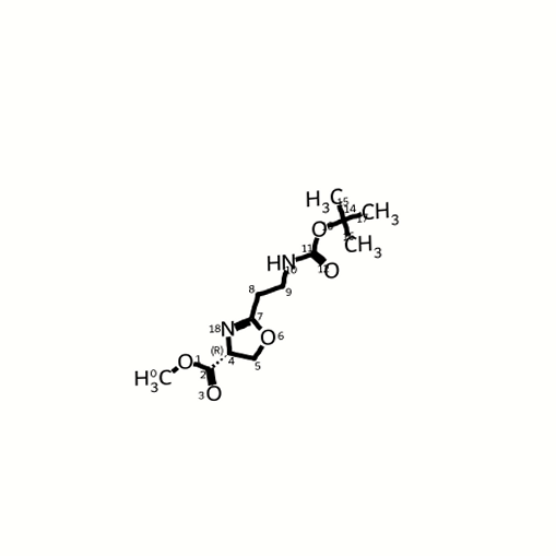 COC(=O)[C@H]1COC(CCNC(=O)OC(C)(C)C)=N1